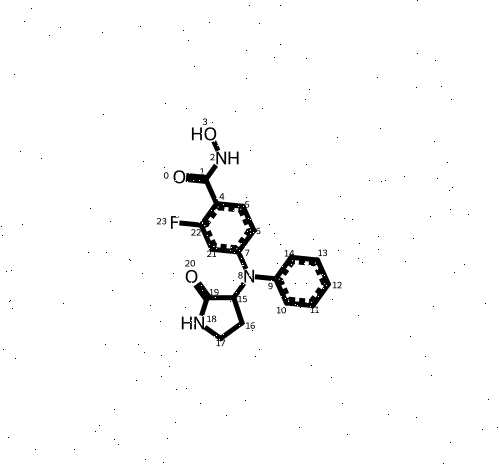 O=C(NO)c1ccc(N(c2ccccc2)C2CCNC2=O)cc1F